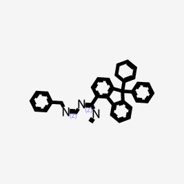 C=N/C(=N\C=N/Cc1ccccc1)c1cccc2c1-c1ccccc1C2(C1=CC=CCC1)c1ccccc1